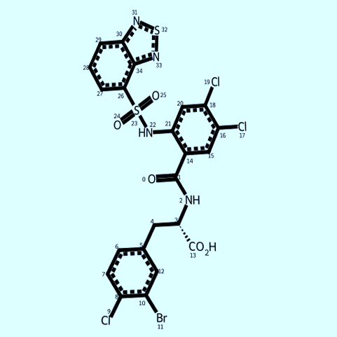 O=C(N[C@@H](Cc1ccc(Cl)c(Br)c1)C(=O)O)c1cc(Cl)c(Cl)cc1NS(=O)(=O)c1cccc2nsnc12